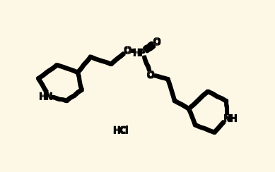 Cl.O=[PH](OCCC1CCNCC1)OCCC1CCNCC1